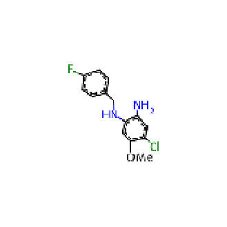 COc1cc(NCc2ccc(F)cc2)c(N)cc1Cl